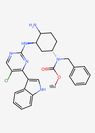 CC(C)(C)OC(=O)N(Cc1ccccc1)[C@H]1CCC(N)[C@H](Nc2ncc(Cl)c(-c3c[nH]c4ccccc34)n2)C1